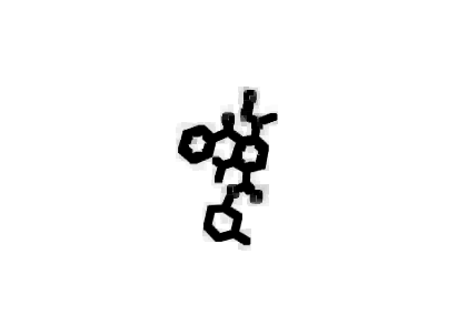 CC1CCCC(OC(=O)c2ccc(N(C)N=O)c(C(=O)c3ccccc3)c2C(C)C)C1